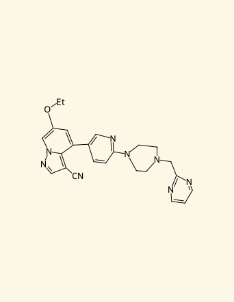 CCOc1cc(-c2ccc(N3CCN(Cc4ncccn4)CC3)nc2)c2c(C#N)cnn2c1